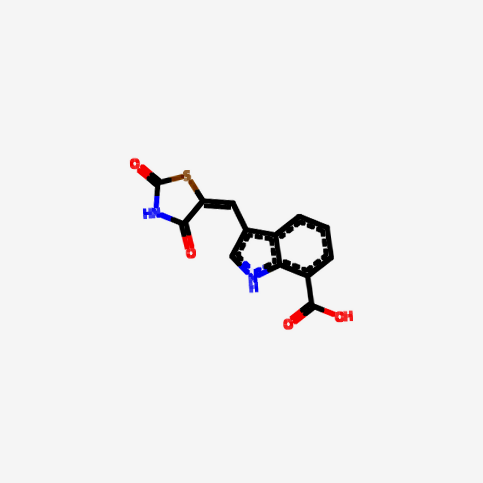 O=C1NC(=O)/C(=C\c2c[nH]c3c(C(=O)O)cccc23)S1